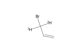 [2H]C([2H])(Br)C=C